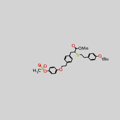 COC(=O)C(Cc1ccc(CCOc2ccc(OS(C)(=O)=O)cc2)cc1)SCCc1ccc(OC(C)(C)C)cc1